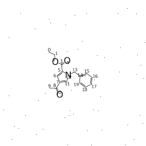 CCOC(=O)c1cc(C(C)=O)cn1Cc1ccccc1